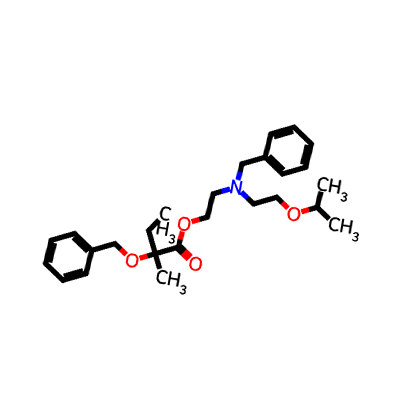 CCC(C)(OCc1ccccc1)C(=O)OCCN(CCOC(C)C)Cc1ccccc1